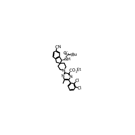 CCOC(=O)c1nc(-c2cccc(Cl)c2Cl)c(C)nc1N1CCC2(CC1)Cc1ccc(C#N)cc1[C@H]2N[S+]([O-])C(C)(C)C